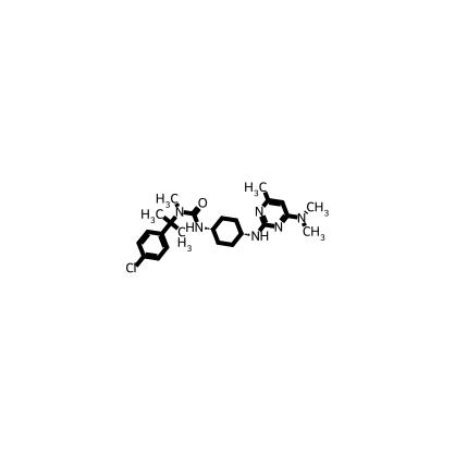 Cc1cc(N(C)C)nc(N[C@H]2CC[C@@H](NC(=O)N(C)C(C)(C)c3ccc(Cl)cc3)CC2)n1